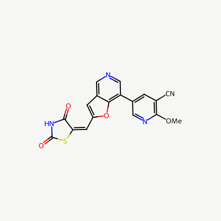 COc1ncc(-c2cncc3cc(C=C4SC(=O)NC4=O)oc23)cc1C#N